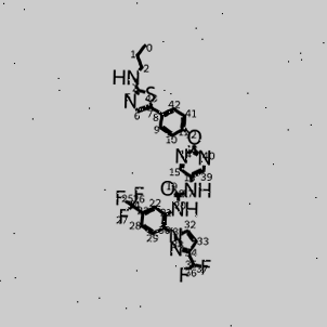 CCCNc1ncc(-c2ccc(Oc3ncc(NC(=O)Nc4cc(C(F)(F)F)ccc4-n4ccc(C(F)F)n4)cn3)cc2)s1